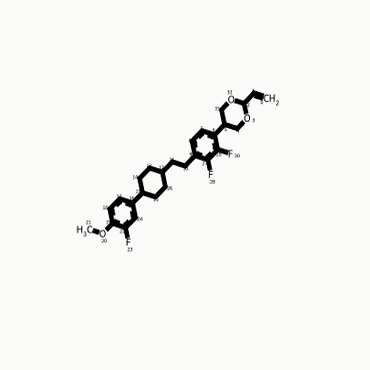 C=CC1OCC(c2ccc(CCC3CCC(c4ccc(OC)c(F)c4)CC3)c(F)c2F)CO1